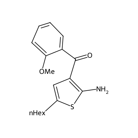 CCCCCCc1cc(C(=O)c2ccccc2OC)c(N)s1